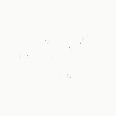 NCC1(NC(=O)[C@@H]2CC[C@@H]3CCCC[C@H](NC(=O)O)C(=O)N32)CC1